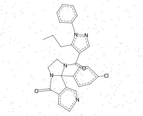 CCCc1c(C(=O)N2CCN3C(=O)c4ccncc4C32c2ccc(Cl)cc2)cnn1-c1ccccc1